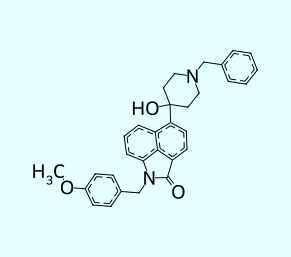 COc1ccc(CN2C(=O)c3ccc(C4(O)CCN(Cc5ccccc5)CC4)c4cccc2c34)cc1